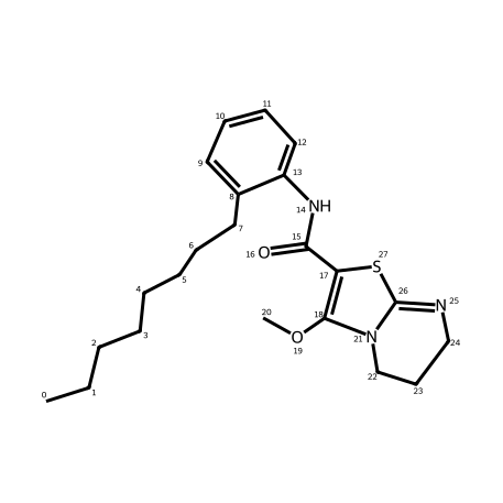 CCCCCCCCc1ccccc1NC(=O)C1=C(OC)N2CCCN=C2S1